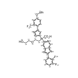 CCCOc1ccc(-c2cc(C(CCOCCO)(C(=O)O)n3cc4nc(-c5cccc(F)c5F)nc-4cn3)on2)c(C(F)(F)F)c1